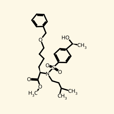 COC(=O)[C@@H](CCCCOCc1ccccc1)N(CCC(C)C)S(=O)(=O)c1ccc([C@H](C)O)cc1